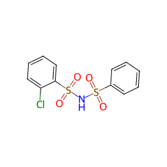 O=S(=O)(NS(=O)(=O)c1ccccc1Cl)c1ccccc1